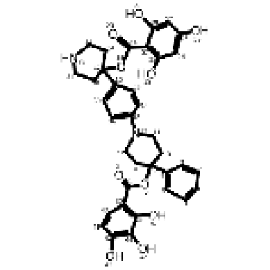 O=C(OC1(c2ccccc2)CCN(c2ccc(C3(OC(=O)c4c(O)cc(O)cc4O)CCNCC3)cc2)CC1)c1ccc(O)c(O)c1O